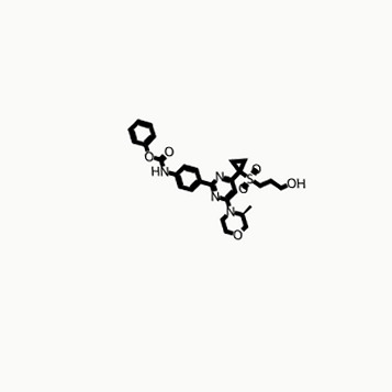 C[C@H]1COCCN1c1cc(C2(S(=O)(=O)CCCO)CC2)nc(-c2ccc(NC(=O)Oc3ccccc3)cc2)n1